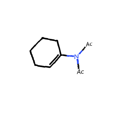 CC(=O)N(C(C)=O)C1=CCCCC1